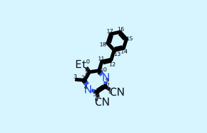 CCC1C(C)=NC(C#N)=C(C#N)N=C1C=Cc1ccccc1